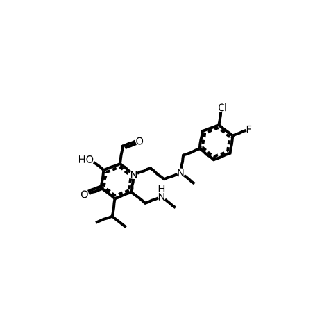 CNCc1c(C(C)C)c(=O)c(O)c(C=O)n1CCN(C)Cc1ccc(F)c(Cl)c1